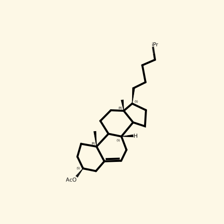 CC(=O)O[C@H]1CC[C@@]2(C)C(=CC[C@@H]3C2CC[C@@]2(C)C3CC[C@@H]2CCCCC(C)C)C1